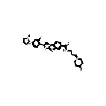 CN1CCC[C@@H]1c1ccc(-c2cn3c(n2)sc2cc(C(=O)NCCCN4CCC(F)CC4)ccc23)c(F)c1